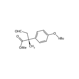 CCCCOc1ccc([C@@](C)(CC=O)C(=O)OC)cc1